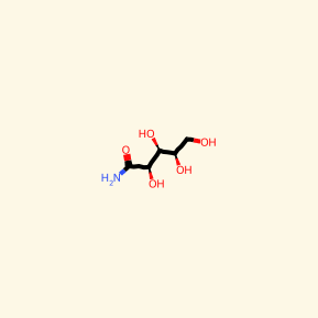 NC(=O)[C@H](O)[C@@H](O)[C@H](O)CO